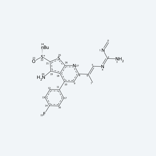 C=N/C(N)=N\C=C(/C)c1cc(-c2ccc(F)cc2)c2c(N)c([S@+]([O-])CCCC)sc2n1